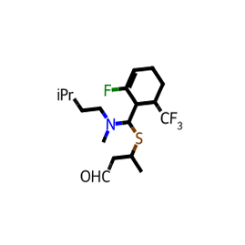 CC(C)CCN(C)C(SC(C)CC=O)C1C(F)=CCCC1C(F)(F)F